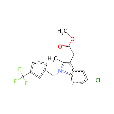 COC(=O)Cc1c(C)n(Cc2cccc(C(F)(F)F)c2)c2ccc(Cl)cc12